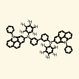 [2H]c1c([2H])c([2H])c(N(c2cccc(-c3cccc(N(c4cc5ccc6cccc7c6c5c(c4)n7-c4ccccc4)c4c([2H])c([2H])c([2H])c([2H])c4[2H])c3)c2)c2cc3ccc4cccc5c4c3c(c2)n5-c2ccccc2)c([2H])c1[2H]